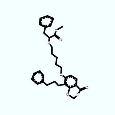 COC(=O)C(Cc1ccccc1)OCCCCCOc1ccc2c(c1CCCc1ccccc1)OCCC2=O